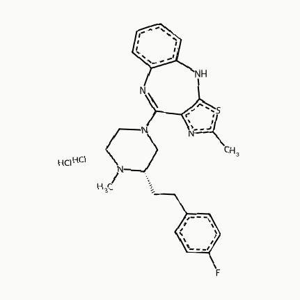 Cc1nc2c(s1)Nc1ccccc1N=C2N1CCN(C)[C@@H](CCc2ccc(F)cc2)C1.Cl.Cl